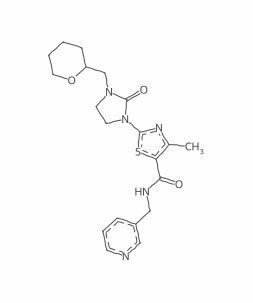 Cc1nc(N2CCN(CC3CCCCO3)C2=O)sc1C(=O)NCc1cccnc1